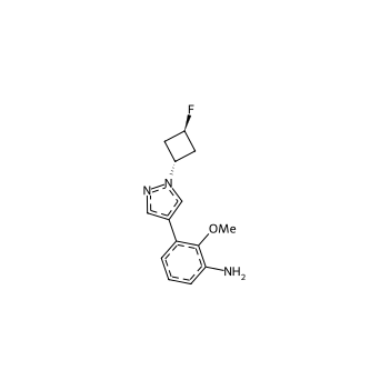 COc1c(N)cccc1-c1cnn([C@H]2C[C@H](F)C2)c1